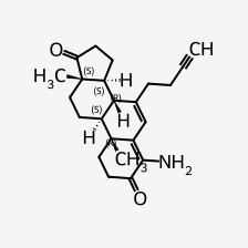 C#CCCC1=CC2=C(N)C(=O)CC[C@]2(C)[C@H]2CC[C@]3(C)C(=O)CC[C@H]3[C@H]12